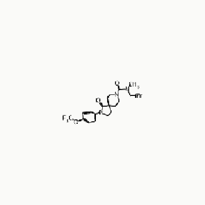 CC(C)CN(C)C(=O)N1CCC2(CC1)CCN(c1ccc(OC(F)(F)F)cc1)C2=O